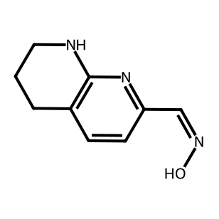 O/N=C\c1ccc2c(n1)NCCC2